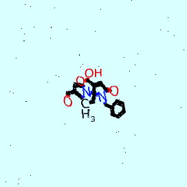 CCC1(n2ccc(C=O)c2)C(C(=O)O)=CC(=O)N1Cc1ccccc1